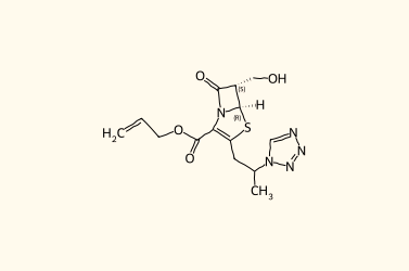 C=CCOC(=O)C1=C(CC(C)n2cnnn2)S[C@@H]2[C@@H](CO)C(=O)N12